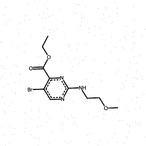 CCOC(=O)c1nc(NCCOC)ncc1Br